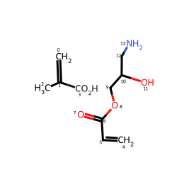 C=C(C)C(=O)O.C=CC(=O)OCC(O)CN